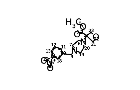 COC(=O)C1(N2CCN(Cc3cccc([N+](=O)[O-])c3)CC2)COC1